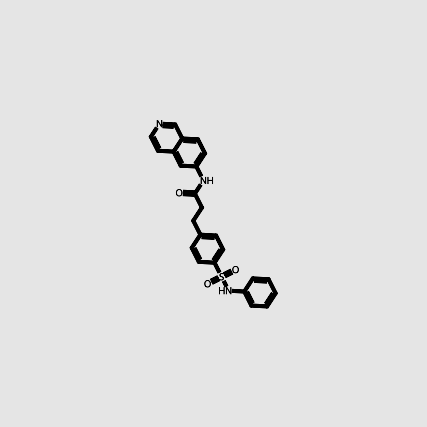 O=C(CCc1ccc(S(=O)(=O)Nc2ccccc2)cc1)Nc1ccc2cnccc2c1